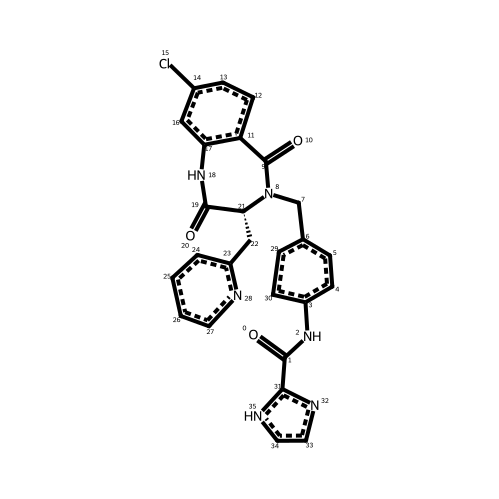 O=C(Nc1ccc(CN2C(=O)c3ccc(Cl)cc3NC(=O)[C@H]2Cc2ccccn2)cc1)c1ncc[nH]1